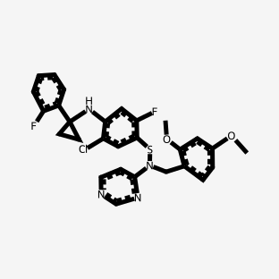 COc1ccc(CN(Sc2cc(Cl)c(NC3(c4ccccc4F)CC3)cc2F)c2ccncn2)c(OC)c1